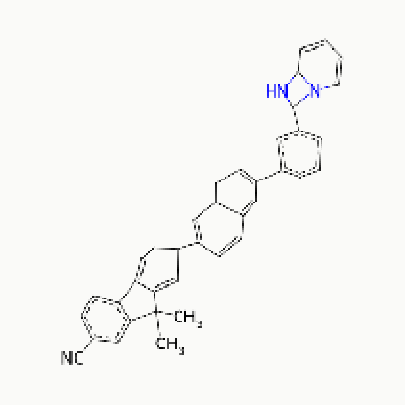 CC1(C)C2=CC(C3=CC4CC=C(c5cccc(C6NC7C=CC=CN76)c5)C=C4C=C3)CC=C2c2ccc(C#N)cc21